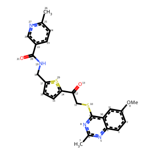 COc1ccc2nc(C)nc(SCC(=O)c3ccc(CNC(=O)c4ccc(C)nc4)s3)c2c1